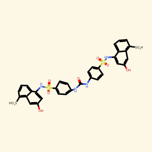 O=C(Nc1ccc(S(=O)(=O)Nc2cc(O)cc3c(S(=O)(=O)O)cccc23)cc1)Nc1ccc(S(=O)(=O)Nc2cc(O)cc3c(S(=O)(=O)O)cccc23)cc1